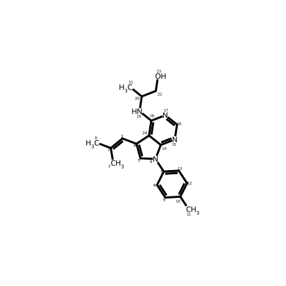 CC(C)=Cc1cn(-c2ccc(C)cc2)c2ncnc(NC(C)CO)c12